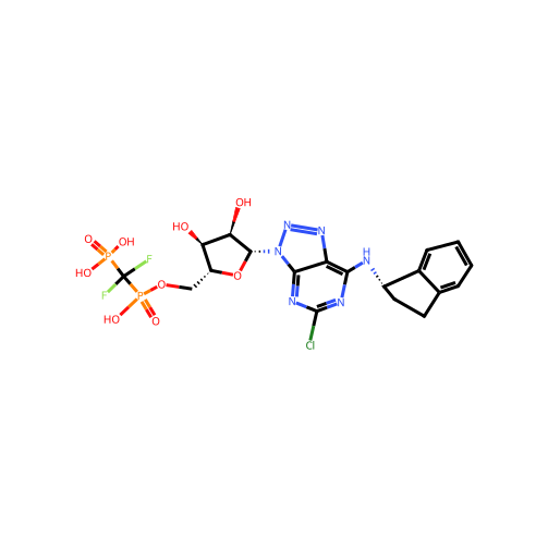 O=P(O)(O)C(F)(F)P(=O)(O)OC[C@H]1O[C@@H](n2nnc3c(N[C@H]4CCc5ccccc54)nc(Cl)nc32)[C@H](O)[C@@H]1O